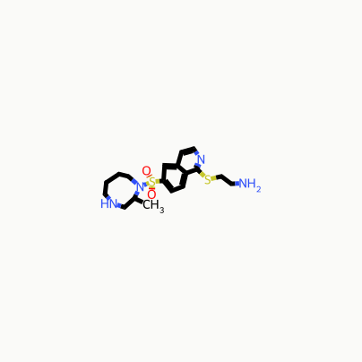 CC1CNCCCCN1S(=O)(=O)c1ccc2c(SCCN)nccc2c1